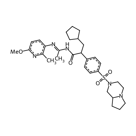 COc1ccc(/N=C(\C)NC(=O)C(CC2CCCC2)c2ccc(S(=O)(=O)N3CCN4CCCC4C3)cc2)c(C)n1